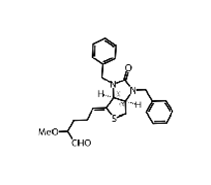 COC(C=O)CCC=C1SC[C@H]2[C@@H]1N(Cc1ccccc1)C(=O)N2Cc1ccccc1